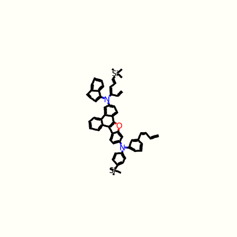 C=C/C=C\c1cccc(N(c2ccc([Si](C)(C)C)cc2)c2ccc3c(c2)oc2c4ccc(N(/C(C=C)=C/C=C/[Si](C)(C)C)c5cccc6ccccc56)cc4c4ccccc4c32)c1